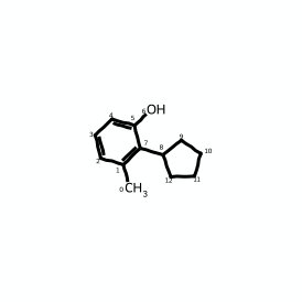 Cc1cccc(O)c1C1CCCC1